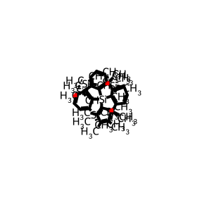 CC1=C(C)C(C)C([Si](c2c([Si](C)(C)C)cccc2[Si](C)(C)C)(c2c([Si](C)(C)C)cccc2[Si](C)(C)C)c2c([Si](C)(C)C)cccc2[Si](C)(C)C)=C1C